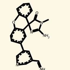 CN1C(=O)C2(N=C1N)c1ccccc1Oc1ccc(-c3cncc(C=N)c3)cc12